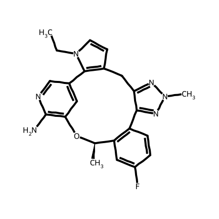 CCn1ccc2c1-c1cnc(N)c(c1)O[C@H](C)c1cc(F)ccc1-c1nn(C)nc1C2